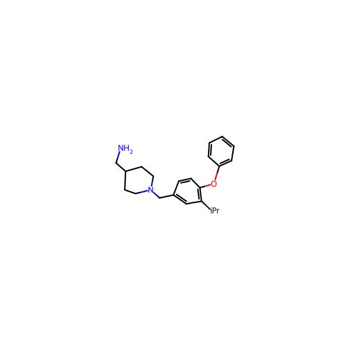 CC(C)c1cc(CN2CCC(CN)CC2)ccc1Oc1ccccc1